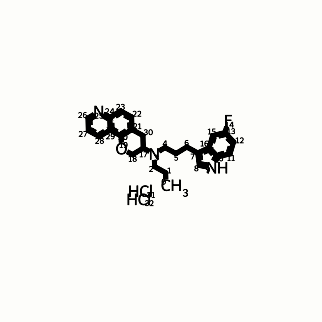 CCCN(CCCc1c[nH]c2ccc(F)cc12)C1COc2c(ccc3ncccc23)C1.Cl.Cl